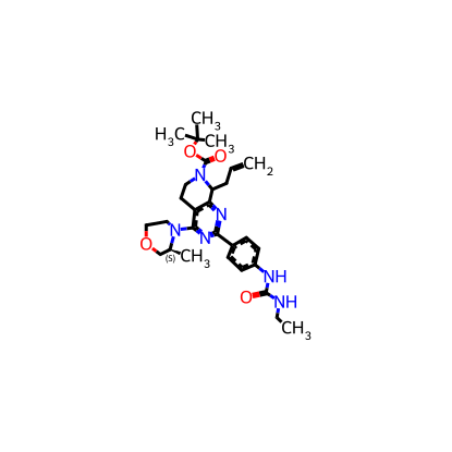 C=CCC1c2nc(-c3ccc(NC(=O)NCC)cc3)nc(N3CCOC[C@@H]3C)c2CCN1C(=O)OC(C)(C)C